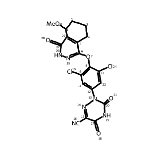 COC1CCCc2c(Oc3c(Cl)cc(-n4nc(C#N)c(=O)[nH]c4=O)cc3Cl)n[nH]c(=O)c21